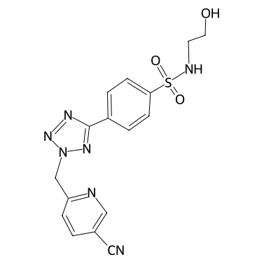 N#Cc1ccc(Cn2nnc(-c3ccc(S(=O)(=O)NCCO)cc3)n2)nc1